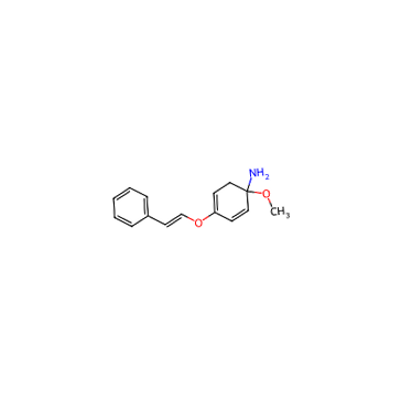 COC1(N)C=CC(OC=Cc2ccccc2)=CC1